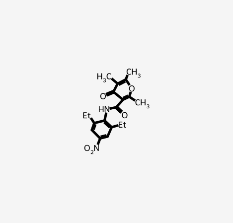 CCc1cc([N+](=O)[O-])cc(CC)c1NC(=O)c1c(C)oc(C)c(C)c1=O